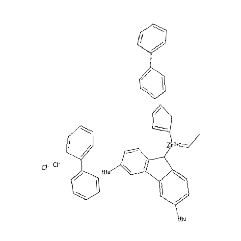 C/[CH]=[Zr+2](\[C]1=CC=CC1)[CH]1c2ccc(C(C)(C)C)cc2-c2cc(C(C)(C)C)ccc21.[Cl-].[Cl-].c1ccc(-c2ccccc2)cc1.c1ccc(-c2ccccc2)cc1